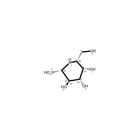 O=S(=O)(O)[C@@H]1N[C@H](CO)[C@H](O)[C@H](O)[C@H]1O